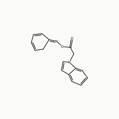 O=C(Cn1ccc2ccccc21)ON=C1C=CC=CC1